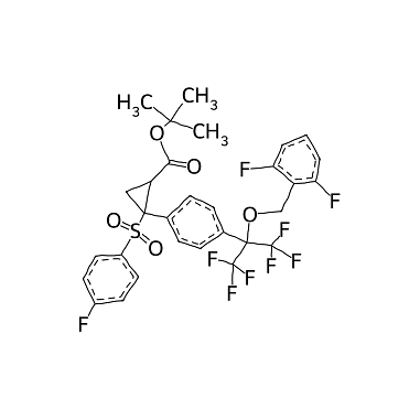 CC(C)(C)OC(=O)C1CC1(c1ccc(C(OCc2c(F)cccc2F)(C(F)(F)F)C(F)(F)F)cc1)S(=O)(=O)c1ccc(F)cc1